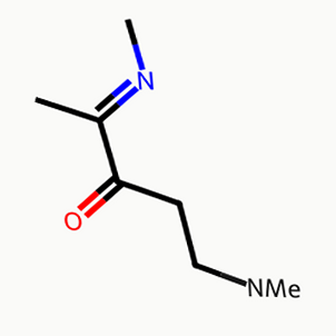 CN=C(C)C(=O)CCNC